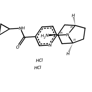 Cl.Cl.N[C@H]1C[C@H]2CC[C@@H](C1)N2c1ccc(C(=O)NC2CC2)cn1